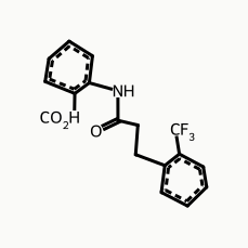 O=C(CCc1ccccc1C(F)(F)F)Nc1ccccc1C(=O)O